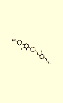 CCOCc1ccc(COC2CCC(c3ccc(C4CCC(O)CC4)c(F)c3F)CC2)c(F)c1